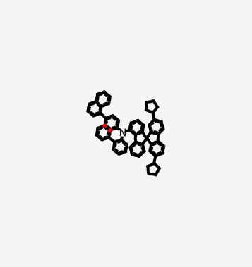 c1ccc(-c2ccccc2N(c2ccc(-c3cccc4ccccc34)cc2)c2cccc3c2-c2ccccc2C32c3cc(C4CCCC4)ccc3-c3ccc(C4CCCC4)cc32)cc1